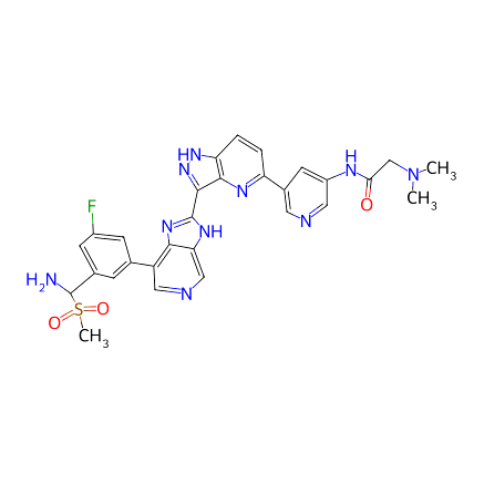 CN(C)CC(=O)Nc1cncc(-c2ccc3[nH]nc(-c4nc5c(-c6cc(F)cc(C(N)S(C)(=O)=O)c6)cncc5[nH]4)c3n2)c1